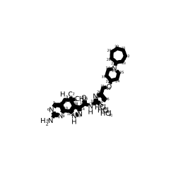 CC1(C)Cc2cnc(N)nc2-c2[nH]nc(C(=O)Nc3nc(COC4CCN(C5CCCCCC5)CC4)cs3)c21.Cl.Cl.Cl